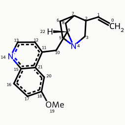 C=CC1CN2CCC1C[C@H]2Cc1ccnc2ccc(OC)cc12